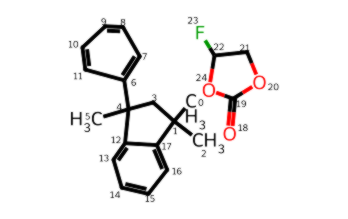 CC1(C)CC(C)(c2ccccc2)c2ccccc21.O=C1OCC(F)O1